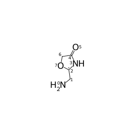 NC[C]1NC(=O)CO1